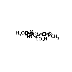 Cc1ccc2c(=O)n(CC[C@H](C(=O)O)[C@H](O)CCc3ccc(-c4cnn(C)c4)cc3)nnc2c1